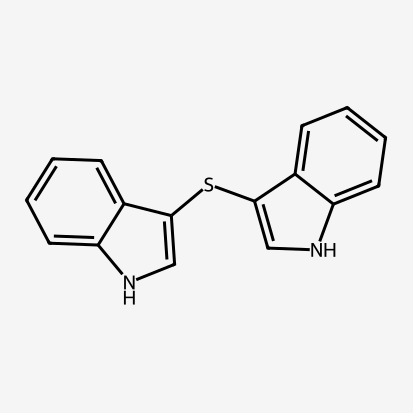 c1ccc2c(Sc3c[nH]c4ccccc34)c[nH]c2c1